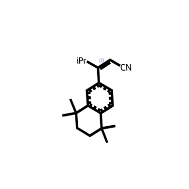 CC(C)/C(=C/C#N)c1ccc2c(c1)C(C)(C)CCC2(C)C